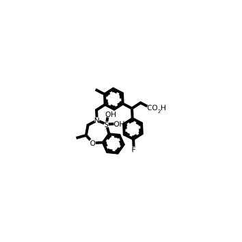 Cc1ccc(C(CC(=O)O)c2ccc(F)cc2)cc1CN1CC(C)Oc2ccccc2S1(O)O